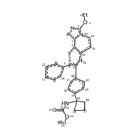 CCOc1nnc2c3cc(-c4ccccc4)c(-c4ccc(C5(NC(=O)OC(C)(C)C)CCC5)cc4)nc3ccn12